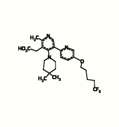 Cc1ncc(-c2ccc(OCCCCC(F)(F)F)cn2)c(N2CCC(C)(C)CC2)c1CC(=O)O